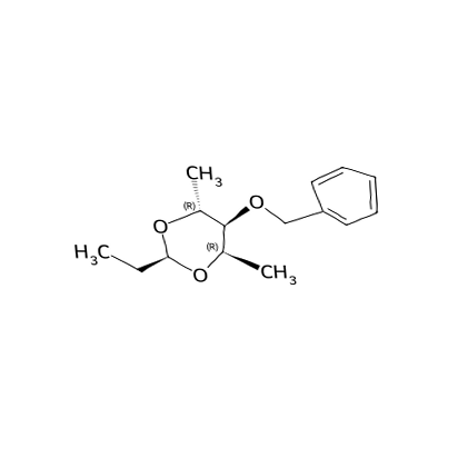 CC[C@H]1O[C@H](C)[C@@H](OCc2ccccc2)[C@@H](C)O1